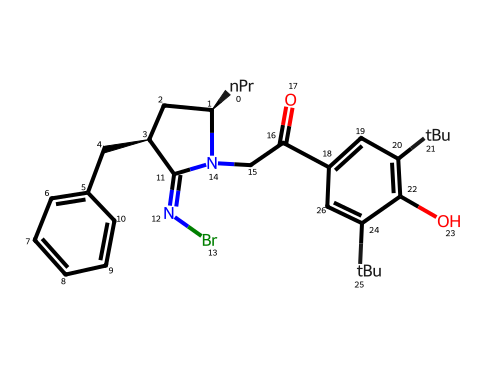 CCC[C@@H]1C[C@H](Cc2ccccc2)/C(=N/Br)N1CC(=O)c1cc(C(C)(C)C)c(O)c(C(C)(C)C)c1